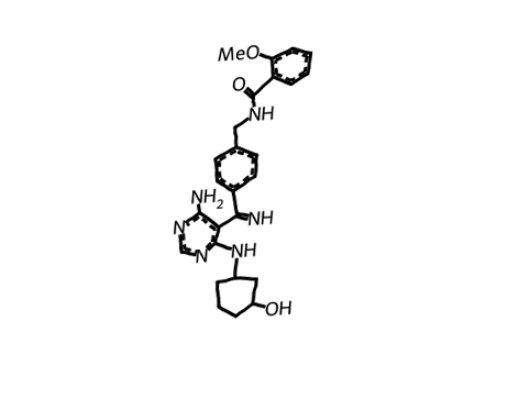 COc1ccccc1C(=O)NCc1ccc(C(=N)c2c(N)ncnc2NC2CCCC(O)C2)cc1